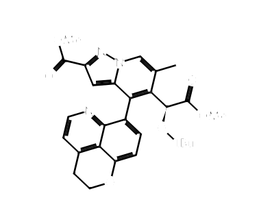 COC(=O)c1cc2c(-c3ccc4c5c(ccnc35)CCO4)c([C@H](OC(C)(C)C)C(=O)OC)c(C)cn2n1